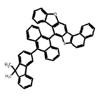 CC1(C)c2ccccc2-c2cc(-c3c4ccccc4c(-c4c5sc6ccc7ccccc7c6c5cc5oc6ccccc6c45)c4ccccc34)ccc21